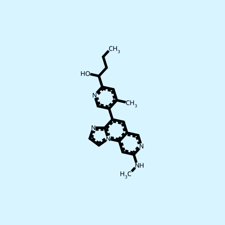 CCCC(O)c1cc(C)c(-c2cc3cnc(NC)cc3n3ccnc23)cn1